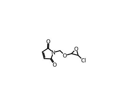 O=C1C=CC(=O)N1COC1OC1Cl